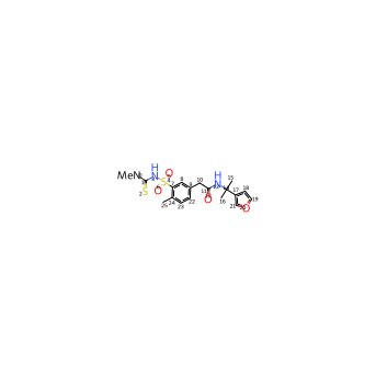 CNC(=S)NS(=O)(=O)c1cc(CC(=O)NC(C)(C)c2ccoc2)ccc1C